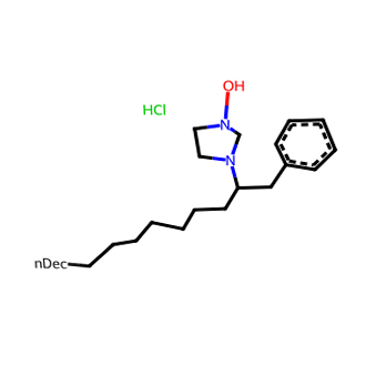 CCCCCCCCCCCCCCCCCC(Cc1ccccc1)N1CCN(O)C1.Cl